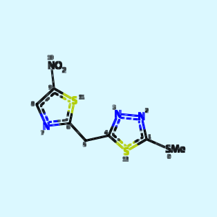 CSc1nnc(Cc2ncc([N+](=O)[O-])s2)s1